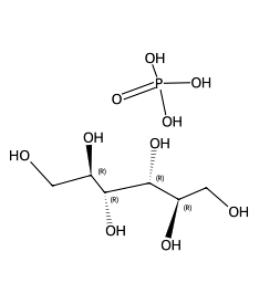 O=P(O)(O)O.OC[C@@H](O)[C@@H](O)[C@H](O)[C@H](O)CO